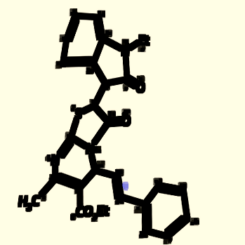 CCOC(=O)C1=C(C)N=C2SC(C3C(=O)N(CC)c4ccccc43)C(=O)N2C1/C=C/c1ccccc1